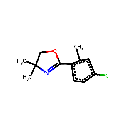 Cc1cc(Cl)ccc1C1=NC(C)(C)CO1